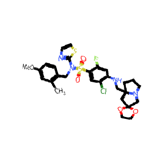 COc1ccc(CN(c2nccs2)S(=O)(=O)c2cc(Cl)c(NCC34CCCN3CC3(C4)OCCO3)cc2F)c(C)c1